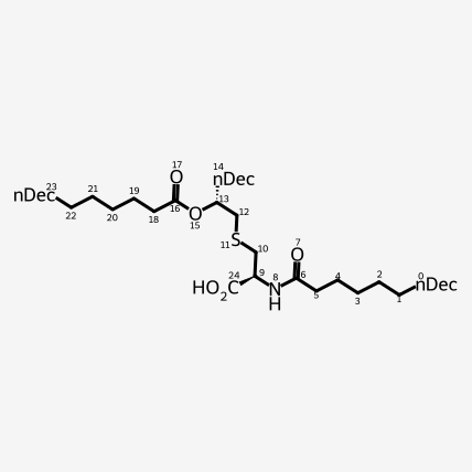 CCCCCCCCCCCCCCCC(=O)N[C@H](CSC[C@@H](CCCCCCCCCC)OC(=O)CCCCCCCCCCCCCCC)C(=O)O